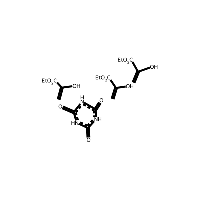 C=C(O)C(=O)OCC.C=C(O)C(=O)OCC.C=C(O)C(=O)OCC.O=c1[nH]c(=O)[nH]c(=O)[nH]1